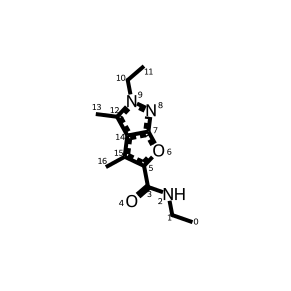 CCNC(=O)c1oc2nn(CC)c(C)c2c1C